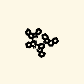 c1ccc2c(c1)cc(-c1nc(-c3cc(-n4c5ccccc5c5c6ccccc6ccc54)cc4c3sc3ccccc34)nc3ccccc13)c1sc3ccccc3c12